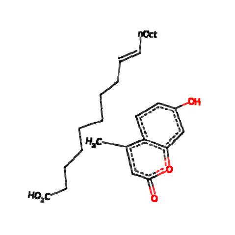 CCCCCCCCC=CCCCCCCCC(=O)O.Cc1cc(=O)oc2cc(O)ccc12